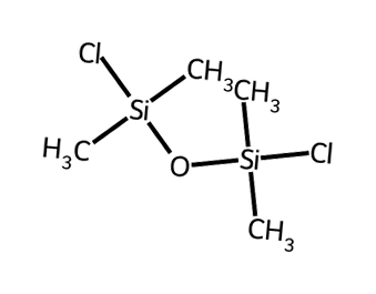 C[Si](C)(Cl)O[Si](C)(C)Cl